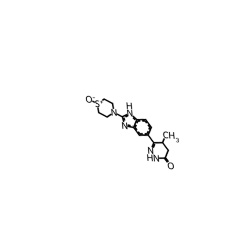 CC1CC(=O)NN=C1c1ccc2[nH]c(N3CC[S+]([O-])CC3)nc2c1